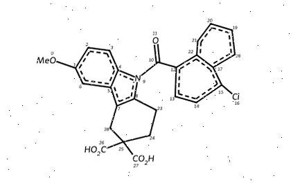 COc1ccc2c(c1)c1c(n2C(=O)c2ccc(Cl)c3ccccc23)CCC(C(=O)O)(C(=O)O)C1